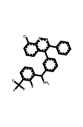 NC(c1cccc(-c2c(-c3ccccc3)nnc3c(Cl)cccc23)c1)c1cccc(C(F)(F)F)c1F